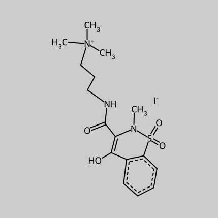 CN1C(C(=O)NCCC[N+](C)(C)C)=C(O)c2ccccc2S1(=O)=O.[I-]